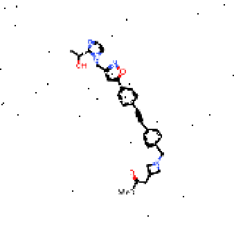 COC(=O)CC1CN(Cc2ccc(C#Cc3ccc(-c4cc(Cn5ccnc5C(C)O)no4)cc3)cc2)C1